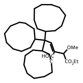 CCOC(=O)C(OC)C(=CC(C1CCCCCCCCC1)(C1CCCCCCCCC1)C1CCCCCCCCC1)C(=O)O